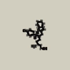 C[C@@H](CCO)CCN(Cc1cc2ccccc2o1)S(=O)(=O)c1ccc(Cl)cc1